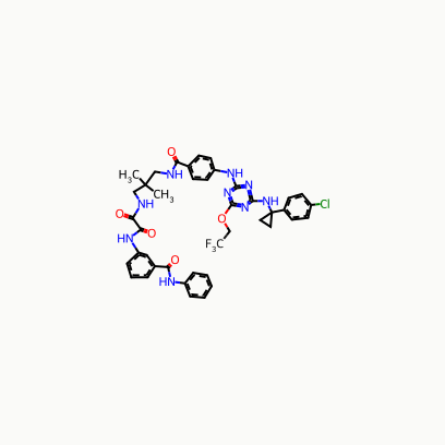 CC(C)(CNC(=O)C(=O)Nc1cccc(C(=O)Nc2ccccc2)c1)CNC(=O)c1ccc(Nc2nc(NC3(c4ccc(Cl)cc4)CC3)nc(OCC(F)(F)F)n2)cc1